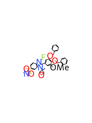 COc1cc(-c2nc3ccc(S(=O)(=O)N(C)C)cc3n2C2(C)COC2)c(F)c(OCc2ccccc2)c1OCc1ccccc1